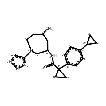 CC1CCN(c2nnn[nH]2)CC(NC(=O)C2(c3ccc(C4CC4)cc3)CC2)C1